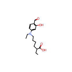 CCC(CCCCN(CC)c1ccc(C=O)c(O)c1)C(=O)O